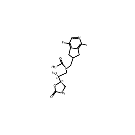 Cc1ncc(F)c2c1CC(CN(C[C@@H](O)[C@H]1CNC(=O)O1)C(=O)O)C2